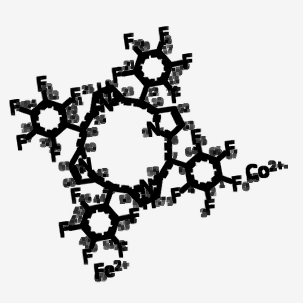 Fc1c(F)c(F)c(-c2c3nc(c(-c4c(F)c(F)c(F)c(F)c4F)c4ccc([nH]4)c(-c4c(F)c(F)c(F)c(F)c4F)c4nc(c(-c5c(F)c(F)c(F)c(F)c5F)c5ccc2[nH]5)C=C4)C=C3)c(F)c1F.[Co+2].[Fe+2]